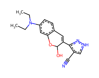 CCN(CC)c1ccc2c(c1)OC(O)C(c1n[nH]cc1C#N)=C2